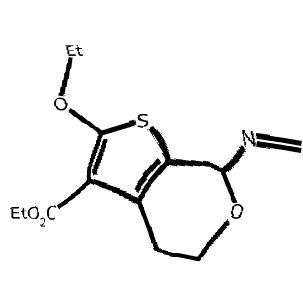 C=NC1OCCc2c1sc(OCC)c2C(=O)OCC